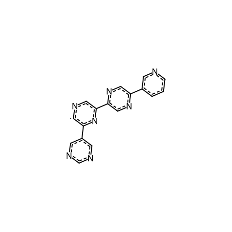 [c]1ncc(-c2cnc(-c3cccnc3)cn2)nc1-c1cncnc1